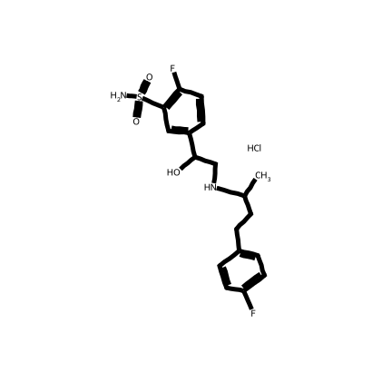 CC(CCc1ccc(F)cc1)NCC(O)c1ccc(F)c(S(N)(=O)=O)c1.Cl